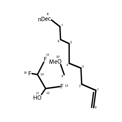 C=CCCCCCCCCCCCCCCCC.COC.OC(F)C(F)F